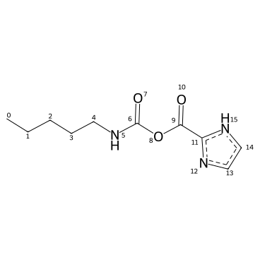 CCCCCNC(=O)OC(=O)c1ncc[nH]1